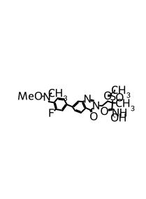 CON(C)Cc1ccc(-c2ccc3c(=O)n(CCC(C)(C(=O)NO)S(C)(=O)=O)cnc3c2)cc1F